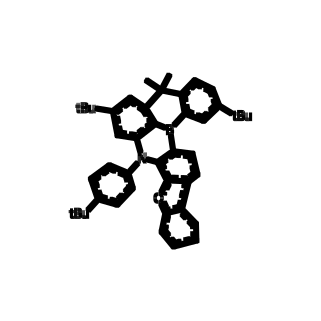 CC(C)(C)c1ccc(N2c3cc(C(C)(C)C)cc4c3B(c3cc(C(C)(C)C)ccc3C4(C)C)c3ccc4c(oc5ccccc54)c32)cc1